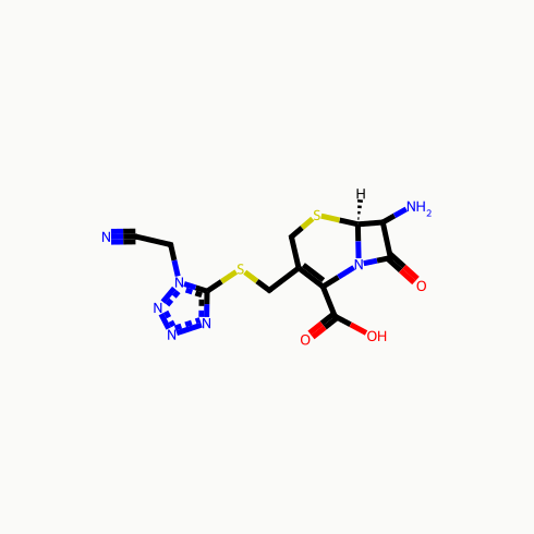 N#CCn1nnnc1SCC1=C(C(=O)O)N2C(=O)C(N)[C@@H]2SC1